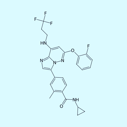 Cc1cc(-c2cnc3c(NCCC(F)(F)F)cc(Oc4ccccc4F)nn23)ccc1C(=O)NC1CC1